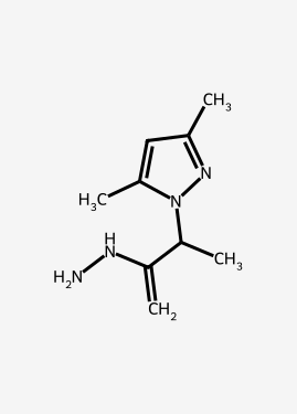 C=C(NN)C(C)n1nc(C)cc1C